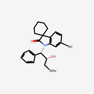 [C-]#[N+]c1ccc2c(c1)N([C@@H](c1ccccc1)[C@H](O)CNC)C(=O)C21CCCCC1